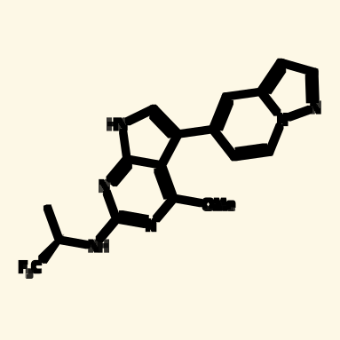 COc1nc(N[C@H](C)C(F)(F)F)nc2[nH]cc(-c3ccn4nccc4c3)c12